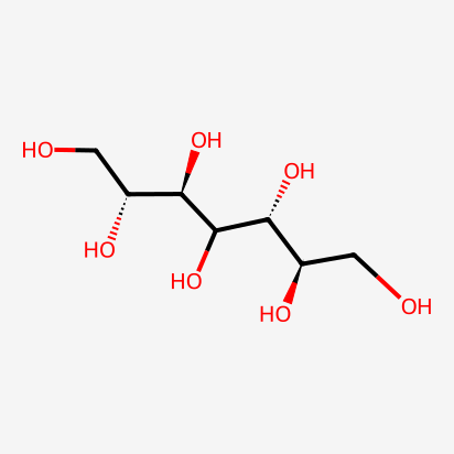 OC[C@@H](O)[C@@H](O)C(O)[C@H](O)[C@H](O)CO